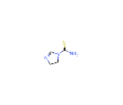 NC(=S)N1C=NCC1